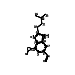 C=Cc1cc(OC)c2nc(CCC(C)C)[nH]c2c1